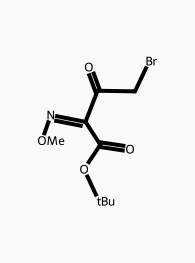 CON=C(C(=O)CBr)C(=O)OC(C)(C)C